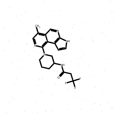 Cc1cnc(N2CCCC(NC(=O)CC(F)(F)F)C2)c2c1cnc1[nH]ccc12